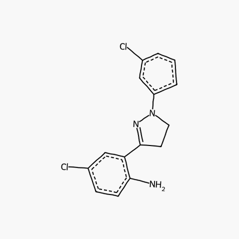 Nc1ccc(Cl)cc1C1=NN(c2cccc(Cl)c2)CC1